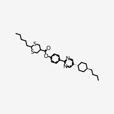 CCCCCC1SCC(C(=O)Oc2ccc(-c3ncc([C@H]4CC[C@H](CCCC)CC4)cn3)cc2)CS1